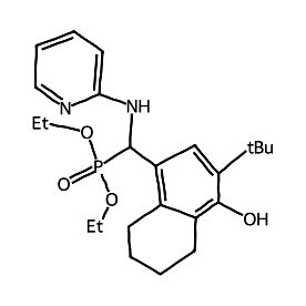 CCOP(=O)(OCC)C(Nc1ccccn1)c1cc(C(C)(C)C)c(O)c2c1CCCC2